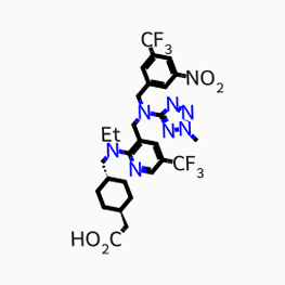 CCN(C[C@H]1CC[C@H](CC(=O)O)CC1)c1ncc(C(F)(F)F)cc1CN(Cc1cc([N+](=O)[O-])cc(C(F)(F)F)c1)c1nnn(C)n1